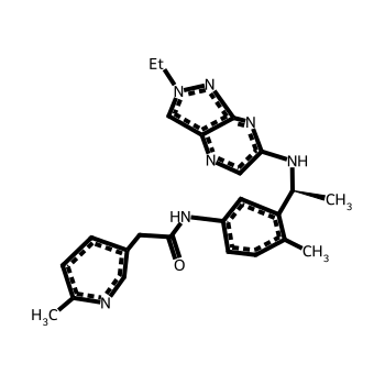 CCn1cc2ncc(N[C@@H](C)c3cc(NC(=O)Cc4ccc(C)nc4)ccc3C)nc2n1